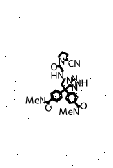 CNC(=O)c1ccc(C(C[C@@H](C)NCC(=O)N2CCC[C@H]2C#N)(c2ccc(C(=O)NC)cc2)c2nn[nH]n2)cc1